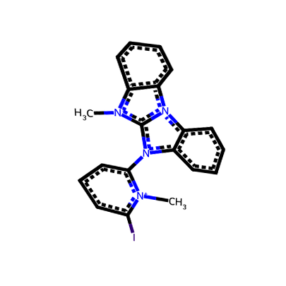 C[n+]1c(I)cccc1-n1c2ccccc2n2c3ccccc3[n+](C)c12